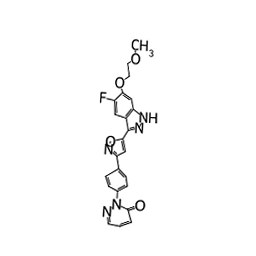 COCCOc1cc2[nH]nc(-c3cc(-c4ccc(-n5ncccc5=O)cc4)no3)c2cc1F